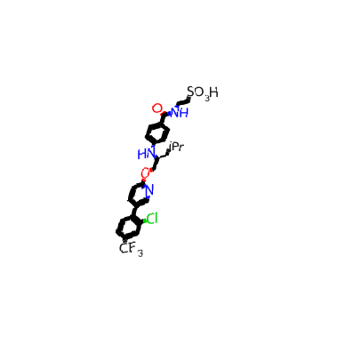 CC(C)C[C@@H](COc1ccc(-c2ccc(C(F)(F)F)cc2Cl)cn1)Nc1ccc(C(=O)NCCS(=O)(=O)O)cc1